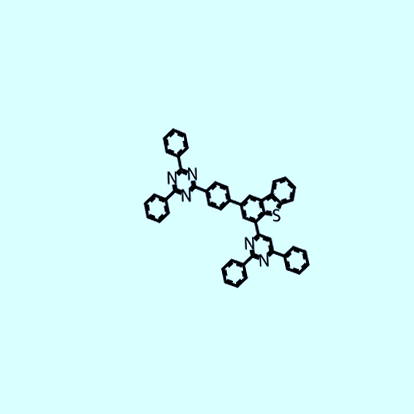 c1ccc(-c2cc(-c3cc(-c4ccc(-c5nc(-c6ccccc6)nc(-c6ccccc6)n5)cc4)cc4c3sc3ccccc34)nc(-c3ccccc3)n2)cc1